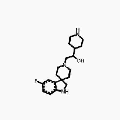 OC(CN1CCC2(CC1)CNc1ccc(F)cc12)C1CCNCC1